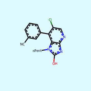 CCCCCn1c(O)nc2ncc(Cl)c(-c3cccc(C#N)c3)c21